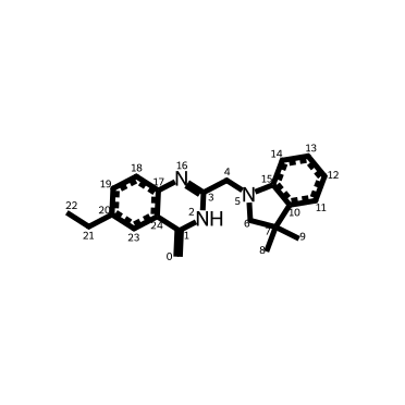 C=C1NC(CN2CC(C)(C)c3ccccc32)=Nc2ccc(CC)cc21